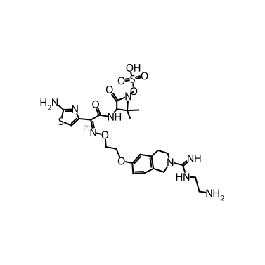 CC1(C)C(NC(=O)/C(=N\OCCOc2ccc3c(c2)CCN(C(=N)NCCN)C3)c2csc(N)n2)C(=O)N1OS(=O)(=O)O